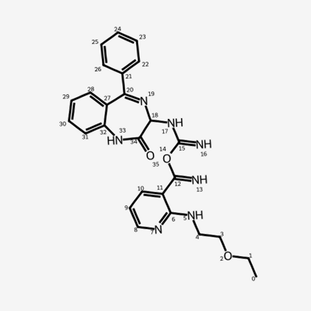 CCOCCNc1ncccc1C(=N)OC(=N)NC1N=C(c2ccccc2)c2ccccc2NC1=O